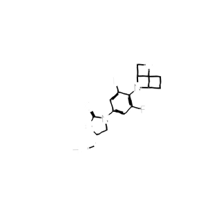 O=C1O[C@@H](CO)CN1c1cc(F)c(N2C3CCC34OCC24)c(F)c1